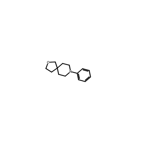 c1ccc(N2CCC3(CCOC3)CC2)cc1